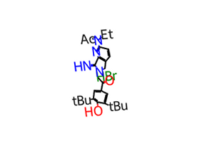 Br.CCN(C(C)=O)c1ccc2c(n1)C(=N)N(CC(=O)c1cc(C(C)(C)C)c(O)c(C(C)(C)C)c1)C2